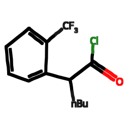 CCCCC(C(=O)Cl)c1ccccc1C(F)(F)F